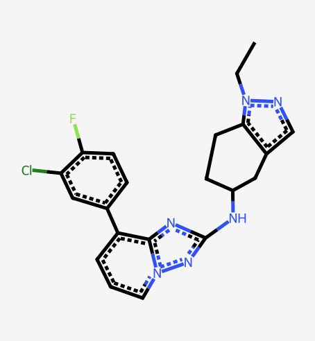 CCn1ncc2c1CCC(Nc1nc3c(-c4ccc(F)c(Cl)c4)cccn3n1)C2